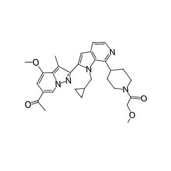 COCC(=O)N1CCC(c2nccc3cc(-c4nn5cc(C(C)=O)cc(OC)c5c4C)n(CC4CC4)c23)CC1